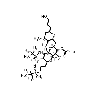 C=C1C(C[C@@H]2O[C@H]3CC(O[Si](C)(C)C(C)(C)C)C(CCO[Si](C)(C)C(C)(C)C)O[C@H]3[C@H](C)[C@H]2OC(C)=O)OC(CCCO)C[C@H]1C